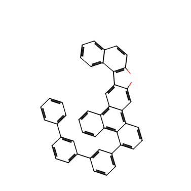 c1ccc(-c2cccc(-c3cccc(-c4cccc5c6cc7oc8ccc9ccccc9c8c7cc6c6ccccc6c45)c3)c2)cc1